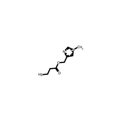 Cn1cnc(COC(=O)CCS)c1